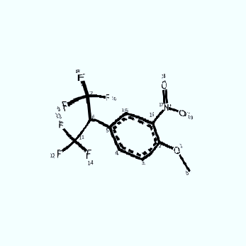 COc1ccc(C(C(F)(F)F)C(F)(F)F)cc1[N+](=O)[O-]